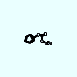 CCCCOC(=O)OC1CC2C=CC1C2